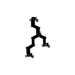 C=C/C=C(/CC)CCC=C